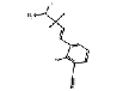 CC(C)(C=Cc1cccc(C#N)c1F)[S+](N)[O-]